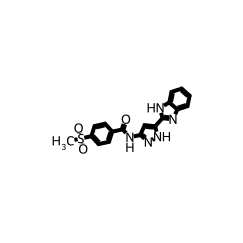 CS(=O)(=O)c1ccc(C(=O)Nc2cc(-c3nc4ccccc4[nH]3)[nH]n2)cc1